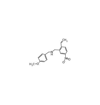 C=Cc1ccc([N+](=O)[O-])cc1CNCc1ccc(OC)cc1